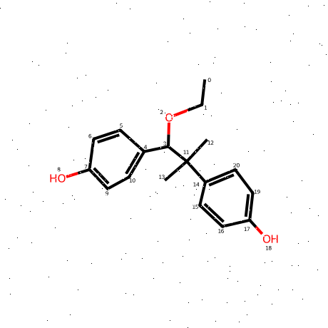 CCOC(c1ccc(O)cc1)C(C)(C)c1ccc(O)cc1